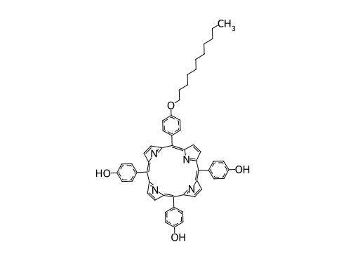 CCCCCCCCCCCOc1ccc(C2=C3C=CC(=N3)C(c3ccc(O)cc3)=C3C=CC(=N3)C(c3ccc(O)cc3)=C3C=CC(=N3)C(c3ccc(O)cc3)=C3C=CC2=N3)cc1